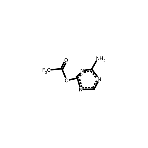 Nc1ncnc(OC(=O)C(F)(F)F)n1